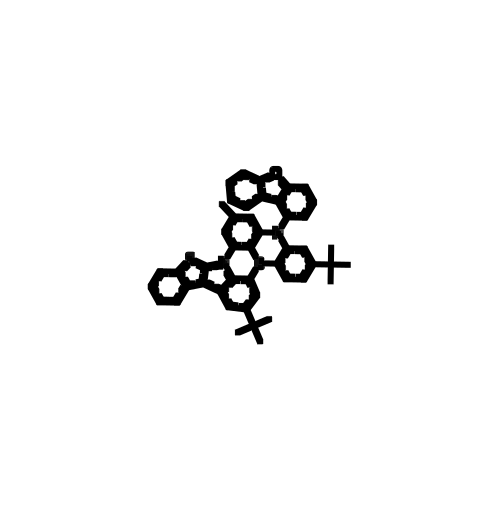 Cc1cc2c3c(c1)-n1c4sc5ccccc5c4c4cc(C(C)(C)C)cc(c41)B3c1ccc(C(C)(C)C)cc1N2c1cccc2oc3ccccc3c12